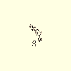 CCNC(=S)Nc1ccc2ncc(-c3cnn(Cc4cccc(C)c4F)c3)nc2n1